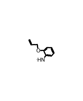 C=CCOc1ccccc1[NH]